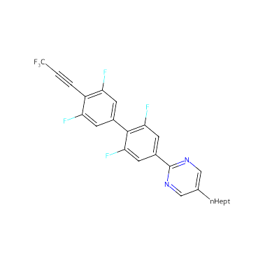 CCCCCCCc1cnc(-c2cc(F)c(-c3cc(F)c(C#CC(F)(F)F)c(F)c3)c(F)c2)nc1